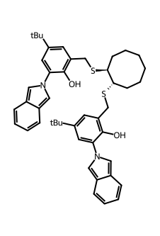 CC(C)(C)c1cc(CS[C@H]2CCCCCC[C@@H]2SCc2cc(C(C)(C)C)cc(-n3cc4ccccc4c3)c2O)c(O)c(-n2cc3ccccc3c2)c1